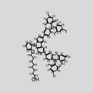 Cc1cc(C)c(B(c2ccc(-c3ccc4c(c3)c3cc(-c5ccc(B(c6c(C)cc(C)cc6C)c6c(C)cc(C)cc6C)cc5)ccc3n4-c3ccccc3OCCCCCCCCO)cc2)c2c(C)cc(C)cc2C)c(C)c1